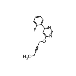 CCC#CCOc1cc(-c2ccccc2F)ncn1